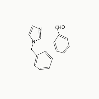 O=Cc1ccccc1.c1ccc(Cn2ccnc2)cc1